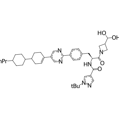 CCCC1CCC(C2CC=C(c3cnc(-c4ccc(C[C@H](NC(=O)c5cnn(C(C)(C)C)c5)C(=O)N5CC(C(O)O)C5)cc4)nc3)CC2)CC1